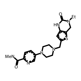 CCN1Cc2sc(CN3CCN(c4ccc(C(=O)NC)nc4)CC3)cc2NC1=O